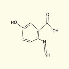 N=Nc1ccc(O)cc1C(=O)O